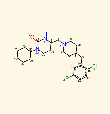 O=C1NC(CN2CCC(Cc3cc(F)ccc3Cl)CC2)CCN1C1CCCCC1